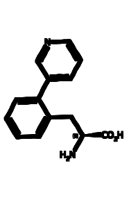 N[C@@H](Cc1ccccc1-c1cccnc1)C(=O)O